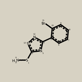 NSc1nc(-c2ccccc2Br)ns1